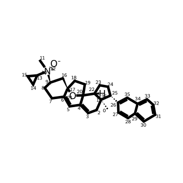 C[C@]12CC=C3C=C4CC[C@@H]([N+](C)([O-])C5CC5)C[C@]45CCC3(O5)[C@@H]1CC[C@@H]2c1ccc2ccccc2c1